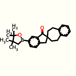 CC1(C)CB(c2ccc3c(c2)C(=O)C2(CCc4ccccc4CC2)C3)OC1(C)C